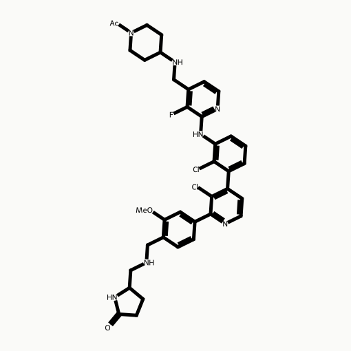 COc1cc(-c2nccc(-c3cccc(Nc4nccc(CNC5CCN(C(C)=O)CC5)c4F)c3Cl)c2Cl)ccc1CNCC1CCC(=O)N1